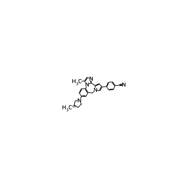 Cc1cnc2n1-c1ccc(N3CC[C@H](C)C3)cc1Cn1cc(-c3ccc(C#N)cc3)cc1-2